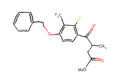 COC(=O)CC(C)C(=O)c1ccc(OCc2ccccc2)c(C(F)(F)F)c1F